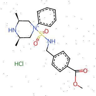 COC(=O)c1ccc(CNS(=O)(=O)[N+]2(c3ccccc3)C[C@@H](C)N[C@@H](C)C2)cc1.Cl